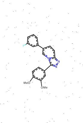 COc1ccc(-c2nnc3ccc(-c4cccc(F)c4)cn23)cc1OC